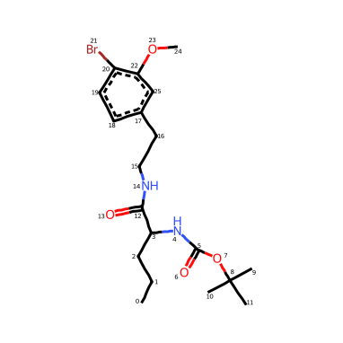 CCCC(NC(=O)OC(C)(C)C)C(=O)NCCc1ccc(Br)c(OC)c1